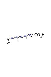 C=CC(=C)/C=C/C=C(C)/C=C/C=C(C)/C=N/CC(=O)O